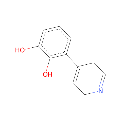 Oc1cccc(C2=CCN=CC2)c1O